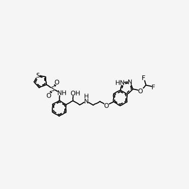 O=S(=O)(Nc1ccccc1C(O)CNCCOc1ccc2c(OC(F)F)n[nH]c2c1)c1ccsc1